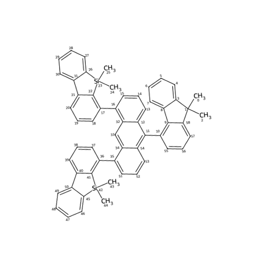 CC1(C)c2ccccc2-c2c(-c3c4cccc(-c5cccc6c5[Si](C)(C)c5ccccc5-6)c4cc4c(-c5cccc6c5[Si](C)(C)c5ccccc5-6)cccc34)cccc21